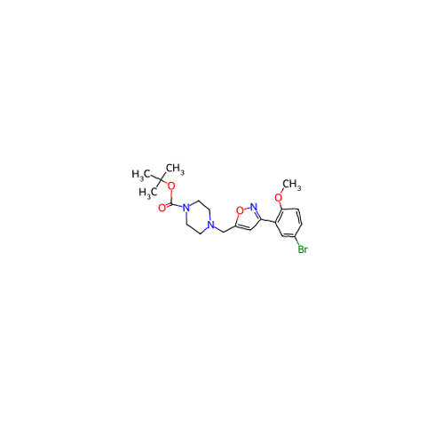 COc1ccc(Br)cc1-c1cc(CN2CCN(C(=O)OC(C)(C)C)CC2)on1